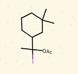 CC(=O)OC(C)(I)C1CCCC(C)(C)C1